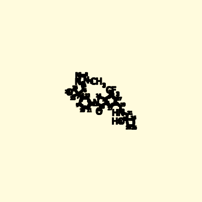 Cn1cnnc1CC1(c2cccc(N3Cc4c(cc(CNCC5(O)CCC5)cc4C(F)(F)F)C3=O)c2)COC1